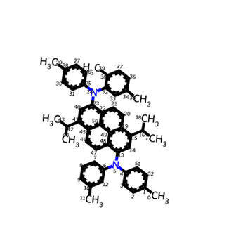 Cc1ccc(N(c2cccc(C)c2)c2cc(C(C)C)c3ccc4c(N(c5ccc(C)cc5)c5cc(C)ccc5C)cc(C(C)C)c5ccc2c3c54)cc1